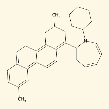 Cc1ccc2c(c1)=c1ccc3c(c1CC=2)CC(C)CC=3C1=CC=CC=CN1C1CCCCC1